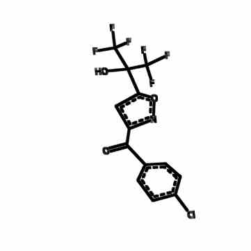 O=C(c1ccc(Cl)cc1)c1cc(C(O)(C(F)(F)F)C(F)(F)F)on1